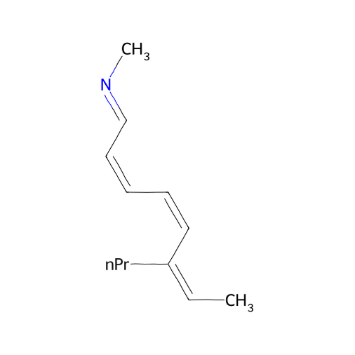 C\C=C(/C=C\C=C/C=NC)CCC